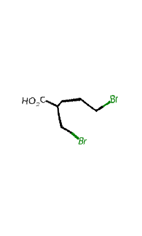 O=C(O)C(CBr)CCBr